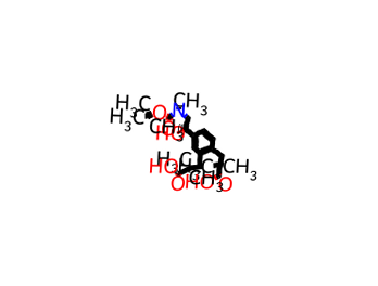 CN(C[C@H](O)c1ccc(CC(C)(C)C(=O)O)c(CC(C)(C)C(=O)O)c1)C(=O)OC(C)(C)C